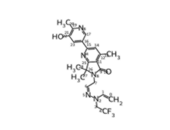 C=CN(CC(F)(F)F)/N=C\CN1C(=O)c2c(C)cc(-c3cnc(C)c(O)c3)nc2C1(C)C